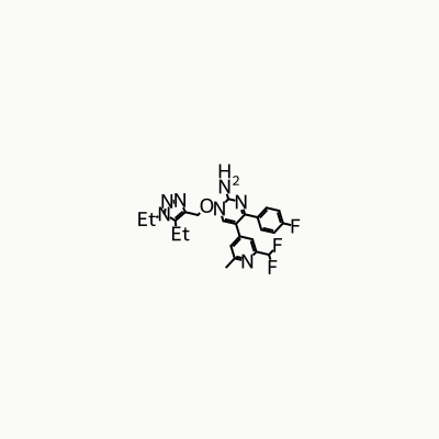 CCc1c(CON2C=C(c3cc(C)nc(C(F)F)c3)C(c3ccc(F)cc3)=NC2N)nnn1CC